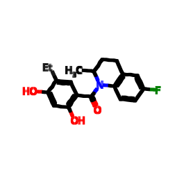 CCc1cc(C(=O)N2c3ccc(F)cc3CCC2C)c(O)cc1O